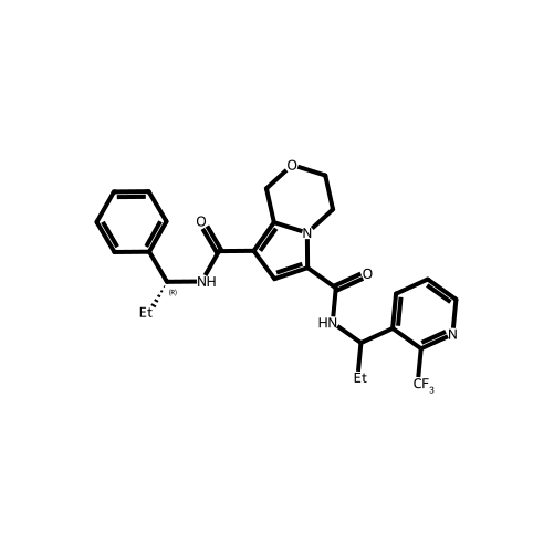 CCC(NC(=O)c1cc(C(=O)N[C@H](CC)c2ccccc2)c2n1CCOC2)c1cccnc1C(F)(F)F